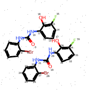 O=C(Nc1ccccc1Br)Nc1cccc(F)c1O.O=C(Nc1ccccc1Br)Nc1cccc(F)c1O